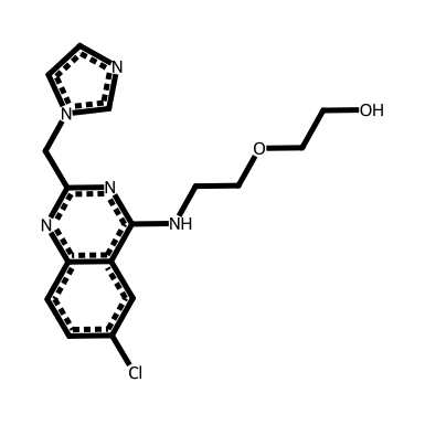 OCCOCCNc1nc(Cn2ccnc2)nc2ccc(Cl)cc12